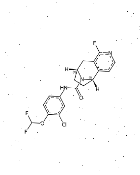 O=C(Nc1ccc(OC(F)F)c(Cl)c1)N1[C@@H]2CC[C@H]1c1ccnc(F)c1C2